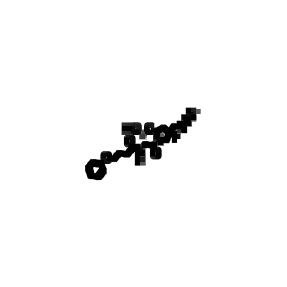 [N-]=[N+]=NCC1(F)C[C@H](C(=O)O)N(C(=O)CNC(=O)CCCOc2ccccc2)C1